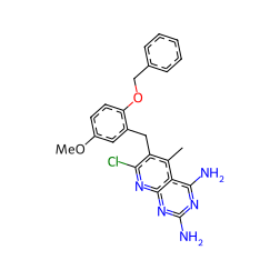 COc1ccc(OCc2ccccc2)c(Cc2c(Cl)nc3nc(N)nc(N)c3c2C)c1